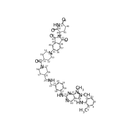 Cc1cccc(C)c1Nc1nn(C)c2nc(Nc3cccc(CNCC4CCN(C(=O)C5CCN(c6ccc7c(c6)C(=O)N(C6CCC(=O)NC6=O)C7=O)CC5)CC4)c3)ncc12